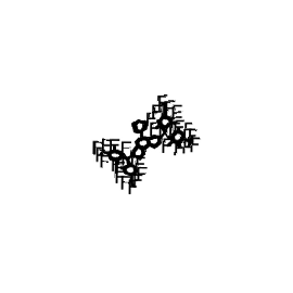 Fc1c(F)c(C(F)(F)F)c(F)c(F)c1N(c1ccc2c(c1)cc(-c1ccccc1)c1cc(N(c3c(F)c(F)c(C(F)(F)F)c(F)c3F)c3c(F)c(F)c(C(F)(F)F)c(F)c3F)ccc12)c1c(F)c(F)c(C(F)(F)F)c(F)c1F